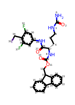 NC(=O)NCCC[C@H](NC(=O)OCC1c2ccccc2-c2ccccc21)C(=O)Nc1cc(F)c(CI)c(F)c1